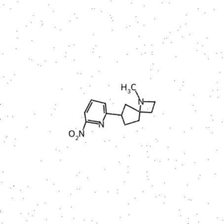 CN1CCC12CCC(c1cccc([N+](=O)[O-])n1)C2